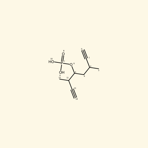 C#CC(C)CC(OP(=O)(O)O)C(C)C#C